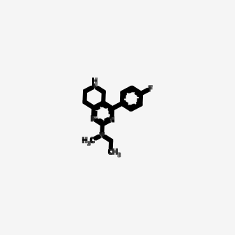 CCN(C)c1nc2c(c(-c3ccc(F)cc3)n1)CNCC2